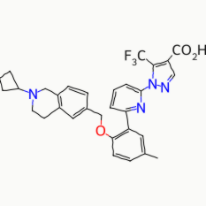 Cc1ccc(OCc2ccc3c(c2)CCN(C2CCC2)C3)c(-c2cccc(-n3ncc(C(=O)O)c3C(F)(F)F)n2)c1